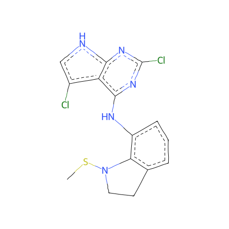 CSN1CCc2cccc(Nc3nc(Cl)nc4[nH]cc(Cl)c34)c21